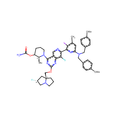 COc1ccc(CN(Cc2ccc(OC)cc2)c2cc(C)c(I)c(-c3ncc4c(N5CCCC(OC(N)=O)[C@@H]5C(C)(C)C)nc(OC[C@@]56CCCN5C[C@H](F)C6)nc4c3F)n2)cc1